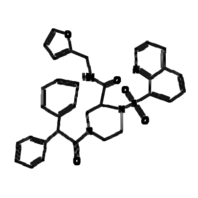 O=C(NCc1ccco1)C1CN(C(=O)C(c2ccccc2)c2ccccc2)CCN1S(=O)(=O)c1cccc2cccnc12